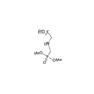 CCOC(=O)CNCP(=O)(OC)OC